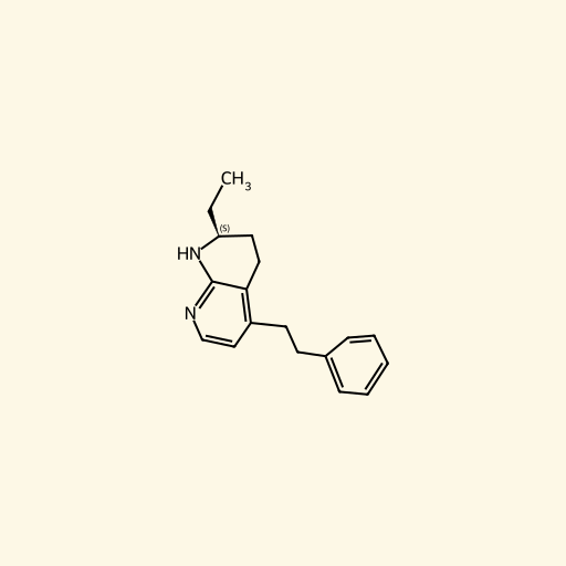 CC[C@H]1CCc2c(CCc3ccccc3)ccnc2N1